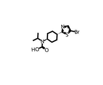 CC(C)N(C(=O)O)[C@H]1CC[C@H](c2ncc(Br)s2)CC1